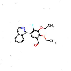 CCOc1c(C=O)cc(-c2nccc3ccccc23)c(F)c1OCC